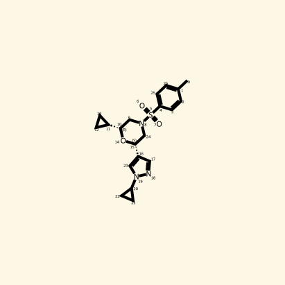 Cc1ccc(S(=O)(=O)N2C[C@@H](C3CC3)O[C@@H](c3cnn(C4CC4)c3)C2)cc1